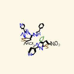 O=[N+]([O-])c1cc2c(Cl)nc(-c3ccncc3)nc2s1.O=[N+]([O-])c1cc2c(NCCc3ccccc3)nc(-c3ccncc3)nc2s1